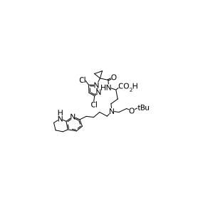 CC(C)(C)OCCN(CCCCc1ccc2c(n1)NCCC2)CCC(NC(=O)C1(n2nc(Cl)cc2Cl)CC1)C(=O)O